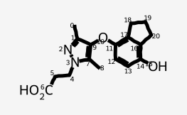 Cc1nn(CCC(=O)O)c(C)c1Oc1ccc(O)c2c1CCC2